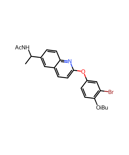 CC(=O)NC(C)c1ccc2nc(Oc3ccc(OCC(C)C)c(Br)c3)ccc2c1